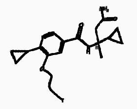 C[C@](CC(N)=O)(NC(=O)c1ccc(C2CC2)c(OCCF)c1)C1CC1